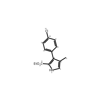 CCOC(=O)c1[nH]cc(C)c1-c1ccc(Cl)cc1